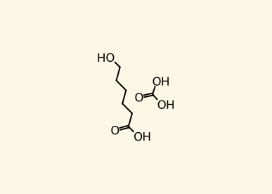 O=C(O)CCCCCO.O=C(O)O